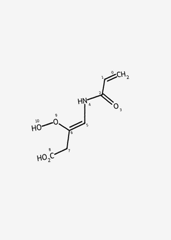 C=CC(=O)N/C=C(/CC(=O)O)OO